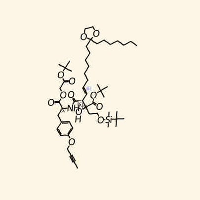 CC#CCOc1ccc(C[C@H](NC(=O)[C@@H](/C=C/CCCCCCC2(CCCCCCC)OCCO2)[C@@](O)(CCO[Si](C)(C)C(C)(C)C)C(=O)OC(C)(C)C)C(=O)OCC(=O)OC(C)(C)C)cc1